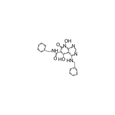 O=C(NCc1ccccc1)c1c(O)c2c(NCc3ccccc3)ncnc2n(O)c1=O